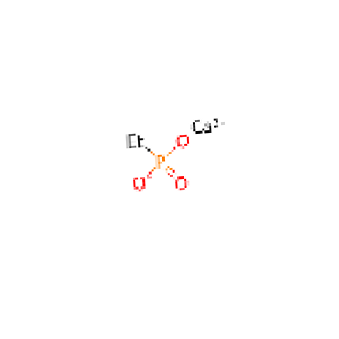 CCP(=O)([O-])[O-].[Ca+2]